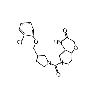 O=C1COC2CCN(C(=O)N3CCC(COc4ccccc4Cl)C3)CC2N1